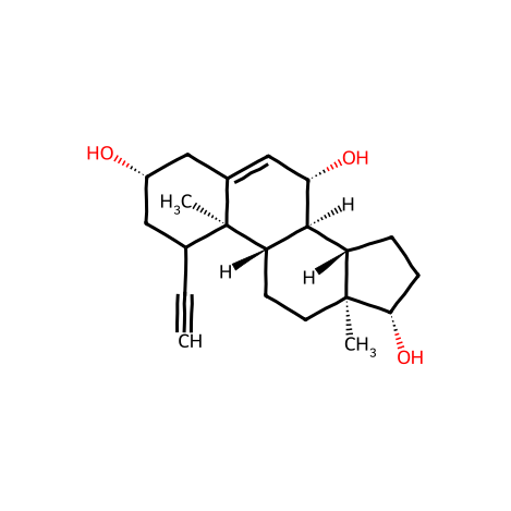 C#CC1C[C@H](O)CC2=C[C@H](O)[C@H]3[C@@H]4CC[C@H](O)[C@@]4(C)CC[C@@H]3[C@]21C